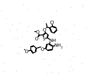 COC(=O)c1sc(Nc2cc(OCc3ccc(OC)cc3)ccc2N)cc1OC(C)c1ccccc1Cl